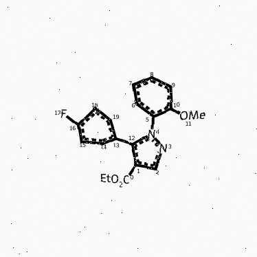 CCOC(=O)c1cnn(-c2ccccc2OC)c1-c1ccc(F)cc1